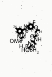 BC(B)(O)c1ncc(NC(=O)OCC(C)Oc2cc3sc(-c4cc(C)cc5nc(OC)cnc45)nc3cc2F)cn1